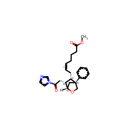 COC(=O)CCC/C=C\C[C@H]1[C@@H](CC(=O)n2ccnc2)[C@@H]2C[C@@]1(c1ccccc1)CO2